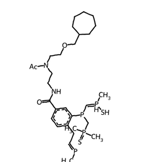 C/P=C/Cc1ccc(C(=O)NCCN(CCOCC2CCCCCC2)C(C)=O)cc1P(/C=[PH](/C)S)CP(C)(C)=S